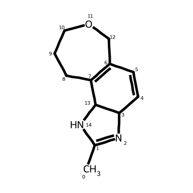 CC1=NC2C=CC3=C(CCCOC3)C2N1